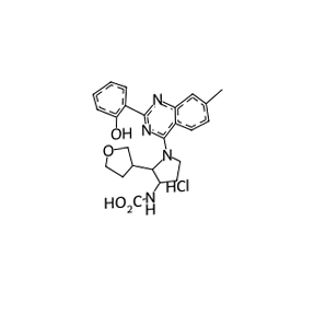 Cc1ccc2c(N3CCC(NC(=O)O)C3C3CCOC3)nc(-c3ccccc3O)nc2c1.Cl